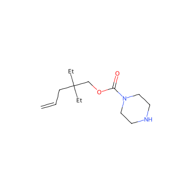 C=CCC(CC)(CC)COC(=O)N1CCNCC1